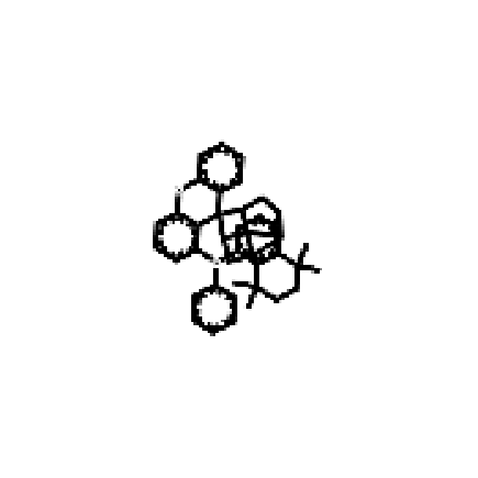 CC1(C)CCC(C)(C)c2c(N(c3ccccc3)c3cccc4c3C3(c5ccccc5S4)C4CC5CC6CC3C64C5)cccc21